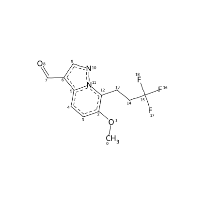 COc1ccc2c(C=O)cnn2c1CCC(F)(F)F